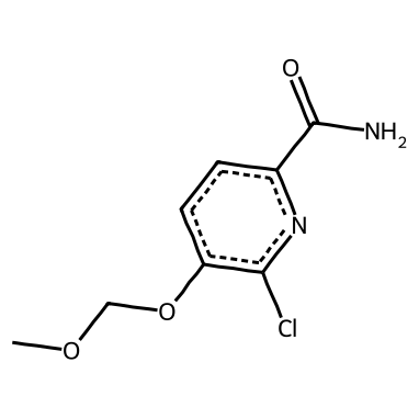 COCOc1ccc(C(N)=O)nc1Cl